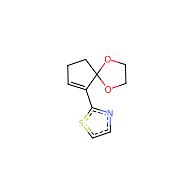 C1=C(c2nccs2)C2(CC1)OCCO2